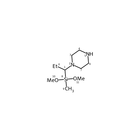 CCC(N1CCNCC1)[Si](C)(OC)OC